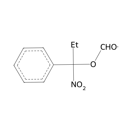 CCC(O[C]=O)(c1ccccc1)[N+](=O)[O-]